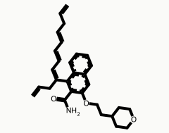 C=CC/C=C/C=C/C=C(/CC=C)c1c(C(N)=O)c(OCCC2CCOCC2)cc2ccccc12